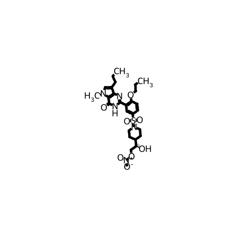 CCCOc1ccc(S(=O)(=O)N2CCC([C@H](O)CO[N+](=O)[O-])CC2)cc1-c1nc2c(CCC)cn(C)c2c(=O)[nH]1